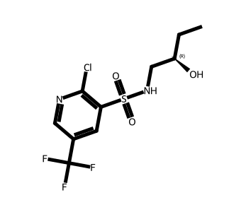 CC[C@@H](O)CNS(=O)(=O)c1cc(C(F)(F)F)cnc1Cl